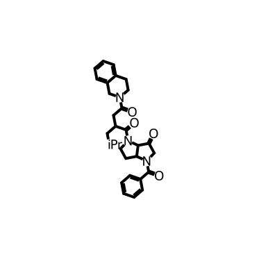 CC(C)CC(CC(=O)N1CCc2ccccc2C1)C(=O)N1CCC2C1C(=O)CN2C(=O)c1ccccc1